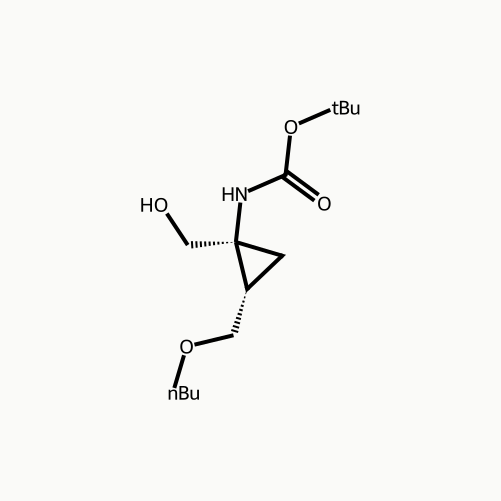 CCCCOC[C@H]1C[C@]1(CO)NC(=O)OC(C)(C)C